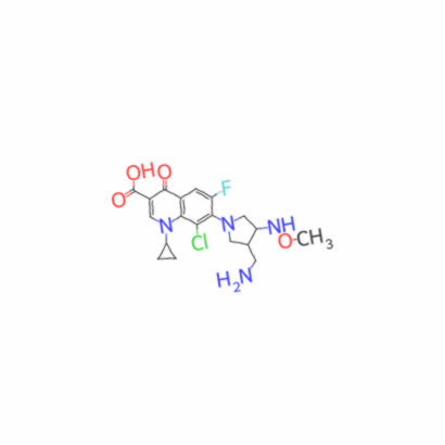 CONC1CN(c2c(F)cc3c(=O)c(C(=O)O)cn(C4CC4)c3c2Cl)CC1CN